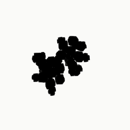 CC(C)(C)c1ccc(N2c3ccc(C(C)(C)C)cc3B3c4sc5cc6c(cc5c4N(c4ccccc4)c4cc(N(c5ccccc5)c5cccc(CC(C)(C)c7ccc8c(c7)B7c9sc%10cc%11c(cc%10c9N(c9ccc(C(C)(C)C)cc9)c9cc(N(c%10ccccc%10)c%10ccccc%10)cc(c97)N8c7ccc(C(C)(C)C)cc7)C(C)(C)CCC%11(C)C)c5)cc2c43)C(C)(C)CCC6(C)C)cc1